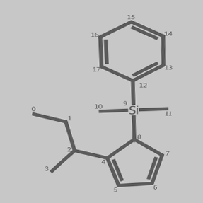 CCC(C)C1=CC=C[C]1[Si](C)(C)c1ccccc1